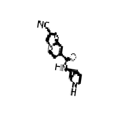 N#Cc1cn2ccc(C(=O)NC3CC4CNC3C4)cc2n1